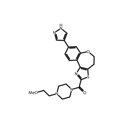 COCCN1CCN(C(=O)c2nc3c(s2)CCOc2cc(-c4cn[nH]c4)ccc2-3)CC1